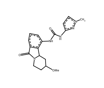 COC1CCN2C(=O)c3cccc(NC(=O)Nc4ccn(C)n4)c3C2C1